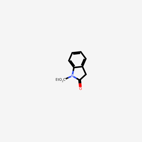 CCOC(=O)N1C(=O)Cc2ccccc21